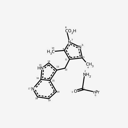 CCCC(N)=O.Cc1nn(C(=O)O)c(C)c1Cc1c[nH]c2ncccc12